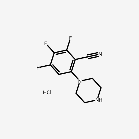 Cl.N#Cc1c(N2CCNCC2)cc(F)c(F)c1F